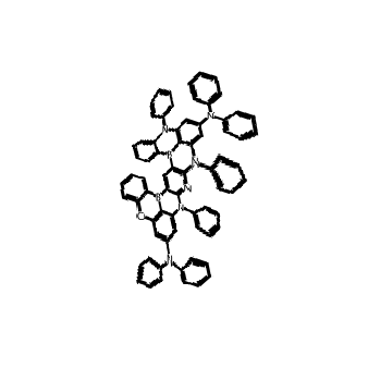 c1ccc(N(c2ccccc2)c2cc3c4c(c2)N(c2ccccc2)c2nc5c(cc2B4c2ccccc2O3)B2c3ccccc3N(c3ccccc3)c3cc(N(c4ccccc4)c4ccccc4)cc(c32)N5c2ccccc2)cc1